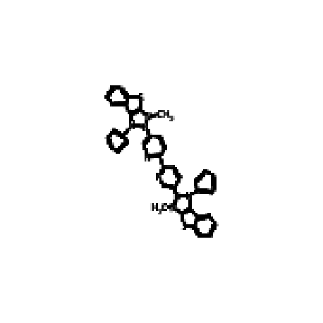 CN1B(c2ccc(-c3ccc(B4N(C)c5sc6ccccc6c5N4c4ccccc4)cn3)nc2)N(c2ccccc2)c2c1sc1ccccc21